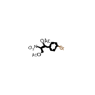 CC(=O)OCC(C(OC(C)=O)c1ccc(Br)cc1)[N+](=O)[O-]